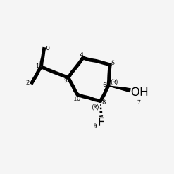 CC(C)C1CC[C@@H](O)[C@H](F)C1